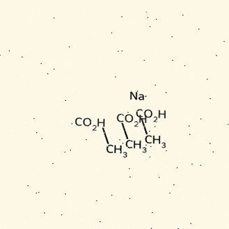 CC(=O)O.CC(=O)O.CC(=O)O.[Na]